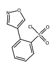 O=S(=O)(Cl)c1ccccc1-c1cnoc1